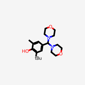 Cc1cc(C(N2CCOCC2)N2CCOCC2)cc(C(C)(C)C)c1O